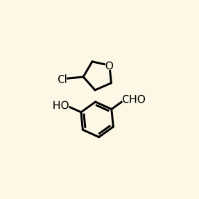 ClC1CCOC1.O=Cc1cccc(O)c1